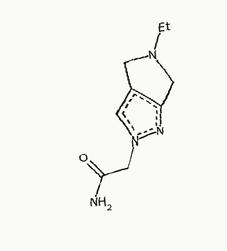 CCN1Cc2cn(CC(N)=O)nc2C1